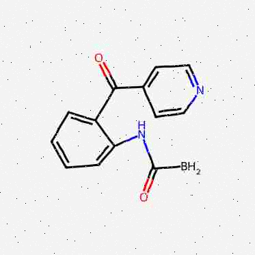 BC(=O)Nc1ccccc1C(=O)c1ccncc1